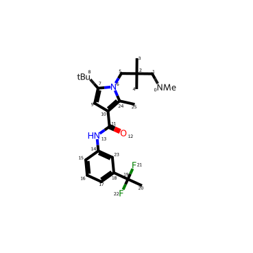 CNCC(C)(C)Cn1c(C(C)(C)C)cc(C(=O)Nc2cccc(C(C)(F)F)c2)c1C